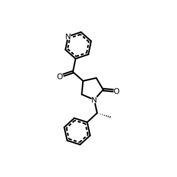 C[C@H](c1ccccc1)N1CC(C(=O)c2cccnc2)CC1=O